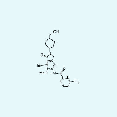 COc1c(NC(=O)c2cccc(C(F)(F)F)n2)cc2c(c1Br)C(=O)N(C1CCC(CO)CC1)C2